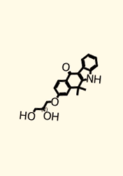 CC1(C)c2cc(OC[C@H](O)CO)ccc2C(=O)c2c1[nH]c1ccccc21